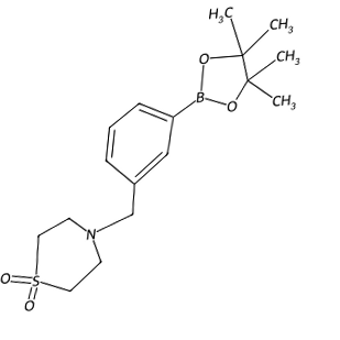 CC1(C)OB(c2cccc(CN3CCS(=O)(=O)CC3)c2)OC1(C)C